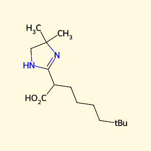 CC(C)(C)CCCCC(C(=O)O)C1=NC(C)(C)CN1